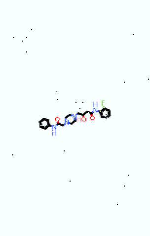 O=C(CN1CCN(CC(O)CC(=O)Nc2ccccc2F)CC1)Nc1ccccc1